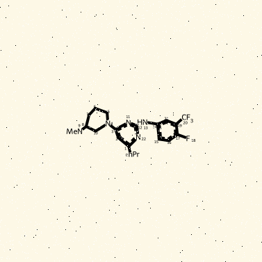 CCCc1cc(N2CCCC(NC)C2)nc(Nc2ccc(F)c(C(F)(F)F)c2)n1